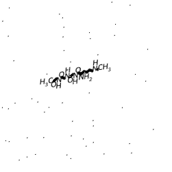 CCNCCCC[C@H](N)C(=O)NCC(=O)NCC(=O)NCC(C)=O